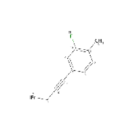 Cc1ccc(C#CCC(C)C)cc1F